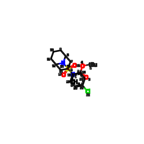 CN(C(=O)OC(C)(C)C)C1CC2CCCC(C1)N2S(=O)(=O)c1ccc(Cl)cc1